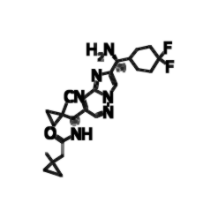 CC1(CC(=O)N[C@@H](c2cnn3cc([C@@H](N)C4CCC(F)(F)CC4)nc3c2)C2(C#N)CC2)CC1